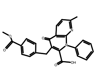 COC(=O)c1ccc(Cc2c(C(=O)O)n(-c3ccccc3)c3nc(C)ccc3c2=O)cc1